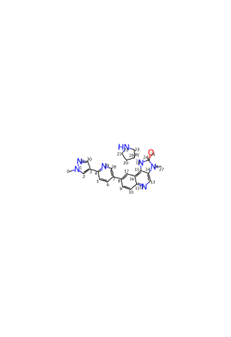 Cn1cc(-c2ccc(-c3ccc4ncc5c(c4c3)n([C@@H]3CCNC3)c(=O)n5C)cn2)cn1